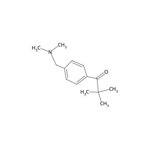 CN(C)Cc1ccc(C(=O)C(C)(C)C)cc1